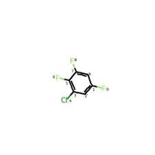 Fc1[c]c(Cl)c(F)c(F)c1